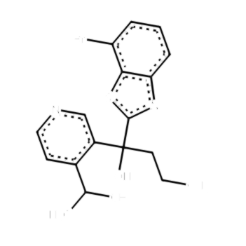 CCCC(O)(c1nc2cccc(Br)c2s1)c1cnccc1C(C)C